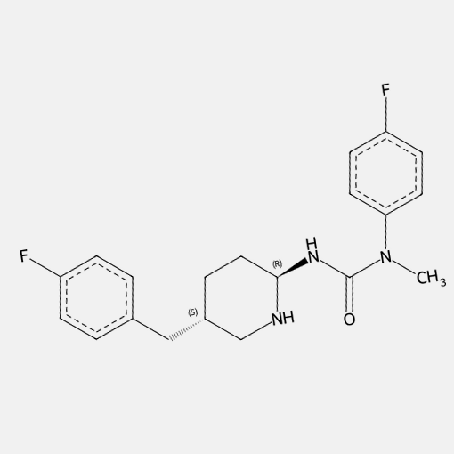 CN(C(=O)N[C@@H]1CC[C@@H](Cc2ccc(F)cc2)CN1)c1ccc(F)cc1